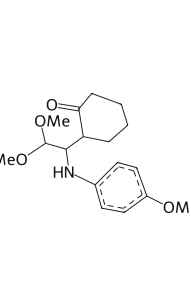 COc1ccc(NC(C(OC)OC)C2CCCCC2=O)cc1